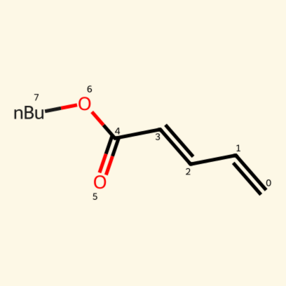 C=CC=CC(=O)OCCCC